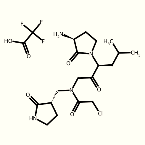 CC(C)C[C@@H](C(=O)CN(C[C@@H]1CCNC1=O)C(=O)CCl)N1CC[C@H](N)C1=O.O=C(O)C(F)(F)F